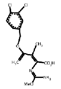 C=C(OCc1ccc(Cl)c(Cl)c1)/C(C)=C(\N=C(/N)OC)C(=O)O